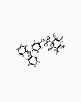 O=S(=O)(Oc1ccc([S+](c2ccccc2)c2ccccc2)cc1)c1c(F)c(F)c(F)c(F)c1F